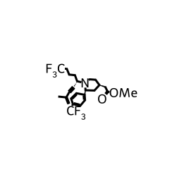 C=C(C)C#C[C@H](CCCC(F)(F)F)N1CC[C@@H](CC(=O)OC)C[C@H]1c1ccc(C(F)(F)F)cc1